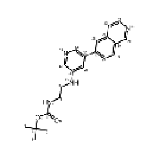 CC(C)(C)OC(=O)NCCNc1cncc(-c2ccc3cnccc3c2)c1